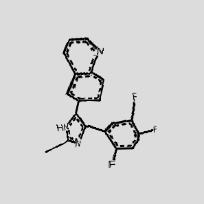 Cc1nc(-c2cc(F)c(F)cc2F)c(-c2ccc3ncccc3c2)[nH]1